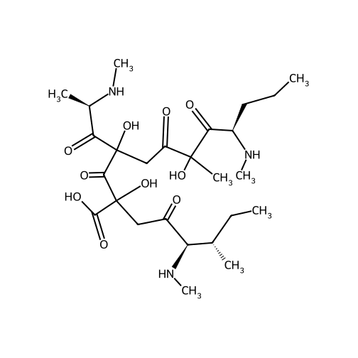 CCC[C@@H](NC)C(=O)C(C)(O)C(=O)CC(O)(C(=O)[C@@H](C)NC)C(=O)C(O)(CC(=O)[C@H](NC)[C@@H](C)CC)C(=O)O